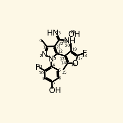 Cc1nn(-c2ccc(O)cc2F)c(-c2c(C)oc(F)c2C)c1C(=N)NO